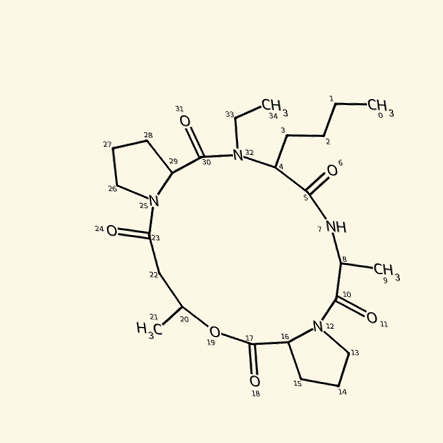 CCCCC1C(=O)NC(C)C(=O)N2CCCC2C(=O)OC(C)CC(=O)N2CCCC2C(=O)N1CC